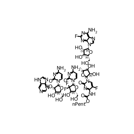 CCCCCOC(=O)Nc1nc(=O)n([C@@H]2O[C@H](C)[C@@H](O)[C@H]2O)cc1F.Nc1ccn([C@@H]2O[C@H](CO)[C@@H](O)C2(F)F)c(=O)n1.Nc1ccn([C@@H]2O[C@H](CO)[C@@H](O)[C@@H]2O)c(=O)n1.Nc1nc(F)nc2c1ncn2[C@@H]1O[C@H](CO)[C@@H](O)[C@@H]1O.c1ncc2[nH]cnc2n1